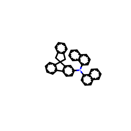 c1ccc2c(c1)CC1(C2)c2ccccc2-c2ccc(N(c3cccc4ccccc34)c3cccc4ccccc34)cc21